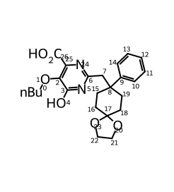 CCCCOc1c(O)nc(CC2(c3ccccc3)CCC3(CC2)OCCO3)nc1C(=O)O